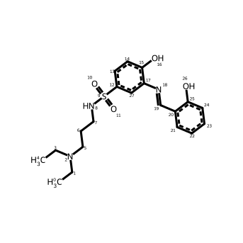 CCN(CC)CCCNS(=O)(=O)c1ccc(O)c(N=Cc2ccccc2O)c1